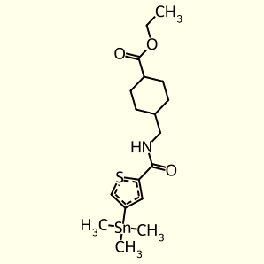 CCOC(=O)C1CCC(CNC(=O)c2c[c]([Sn]([CH3])([CH3])[CH3])cs2)CC1